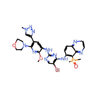 COc1nc(N2CCOCC2)c(-c2cn(C)nn2)cc1Nc1ncc(Br)c(Nc2ccc3nccnc3c2P(C)(C)=O)n1